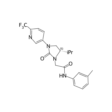 Cc1cccc(NC(=O)CN2C(=O)N(c3ccc(C(F)(F)F)nc3)C[C@@H]2C(C)C)c1